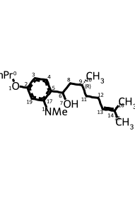 CCCOc1ccc(C(O)C[C@H](C)CCC=C(C)C)c(NC)c1